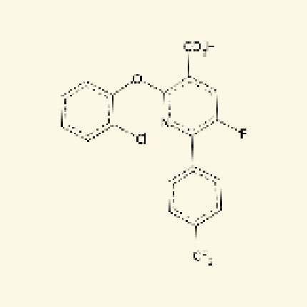 O=C(O)c1cc(F)c(-c2ccc(C(F)(F)F)cc2)nc1Oc1ccccc1Cl